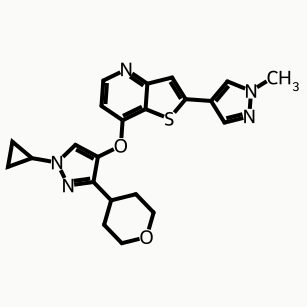 Cn1cc(-c2cc3nccc(Oc4cn(C5CC5)nc4C4CCOCC4)c3s2)cn1